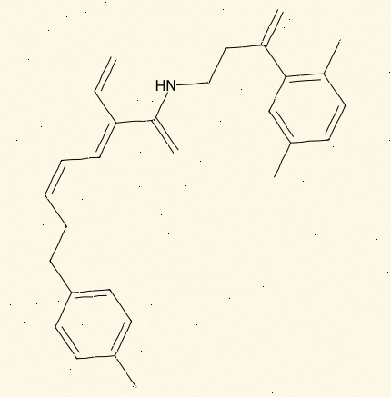 C=C/C(=C\C=C/CCc1ccc(C)cc1)C(=C)NCCC(=C)c1cc(C)ccc1C